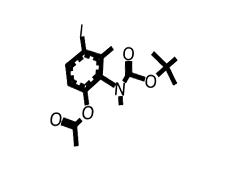 CC(=O)Oc1ccc(I)c(C)c1N(C)C(=O)OC(C)(C)C